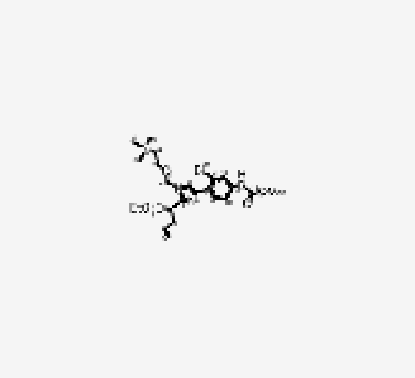 C=CCC(C(=O)OCC)c1nc(-c2ccc(NC(=O)OC)cc2Br)cn1COCC[Si](C)(C)C